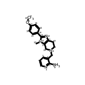 Bc1ncccc1CN1CCc2nc(-c3ccc(OC(F)(F)F)cc3)n(C)c2C1